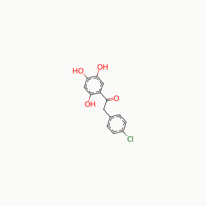 O=C(Cc1ccc(Cl)cc1)c1cc(O)c(O)cc1O